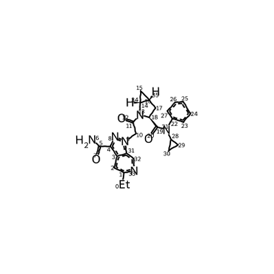 CCc1cc2c(C(N)=O)nn(CC(=O)N3[C@@H]4C[C@@H]4C[C@H]3C(=O)N(c3ccccc3)C3CC3)c2cn1